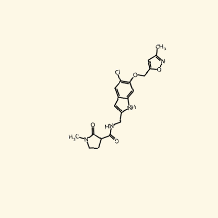 Cc1cc(COc2cc3[nH]c(CNC(=O)C4CCN(C)C4=O)cc3cc2Cl)on1